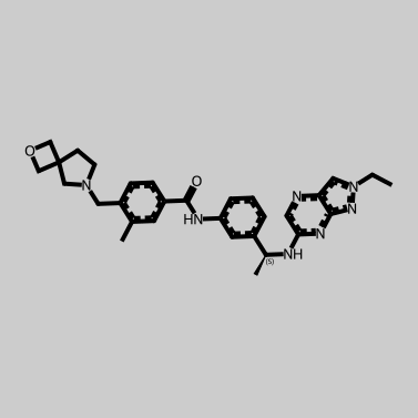 CCn1cc2ncc(N[C@@H](C)c3cccc(NC(=O)c4ccc(CN5CCC6(COC6)C5)c(C)c4)c3)nc2n1